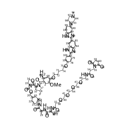 COc1cc(C(=O)N2CC(C)C[C@H]2[C@@H]2OCCN2C(=O)OCc2ccc(NC(=O)[C@H](C)NC(=O)[C@@H](NC(=O)CCOCCOCCOCCOCCNC(=O)CCN3C(=O)C=CC3=O)C(C)C)cc2)c(N)cc1OCCCCCOc1ccc(-c2nc3ccc(-c4nc5cc(N6CCN(C)CC6)ccc5[nH]4)cc3[nH]2)cc1